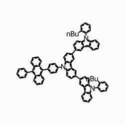 CCCCc1ccccc1-n1c2ccccc2c2cc(-c3ccc4c(c3)c3cc(-c5ccc6c(c5)c5ccccc5n6-c5ccccc5CCCC)ccc3n4-c3ccc(-c4c5ccccc5c(-c5ccccc5)c5ccccc45)cc3)ccc21